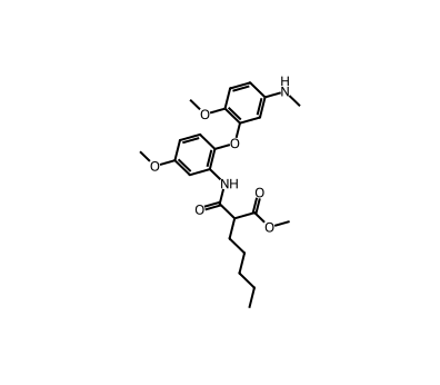 CCCCCC(C(=O)Nc1cc(OC)ccc1Oc1cc(NC)ccc1OC)C(=O)OC